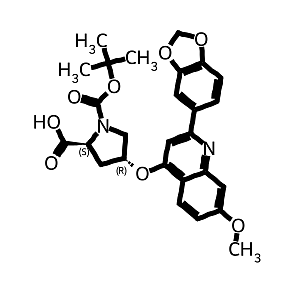 COc1ccc2c(O[C@@H]3C[C@@H](C(=O)O)N(C(=O)OC(C)(C)C)C3)cc(-c3ccc4c(c3)OCO4)nc2c1